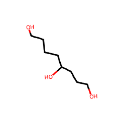 OCCCCC(O)CCCO